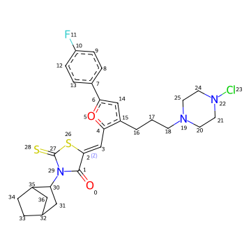 O=C1/C(=C/c2oc(-c3ccc(F)cc3)cc2CCCN2CCN(Cl)CC2)SC(=S)N1C1CC2CCC1C2